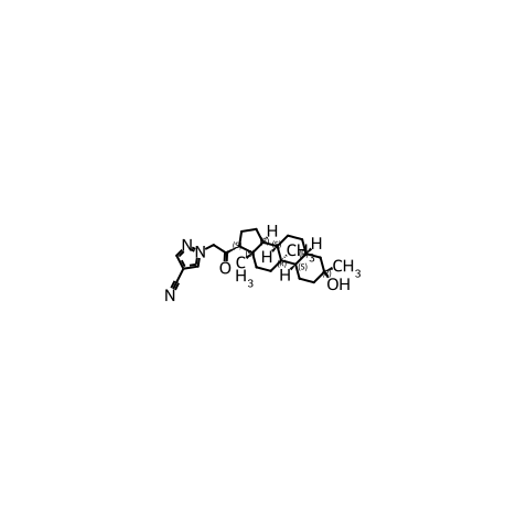 C[C@@]1(O)CC[C@H]2[C@H](CC[C@H]3[C@@H]4CC[C@H](C(=O)Cn5cc(C#N)cn5)[C@@]4(C)CC[C@]23C)C1